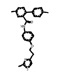 Cc1ccc(-c2ccc(C)cc2C(=O)Nc2ccc(OCCc3csc(C)n3)cc2)cc1